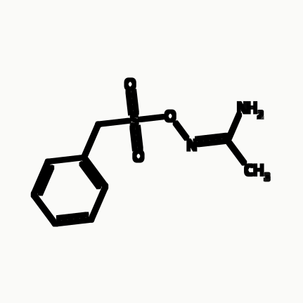 CC(N)=NOS(=O)(=O)Cc1ccccc1